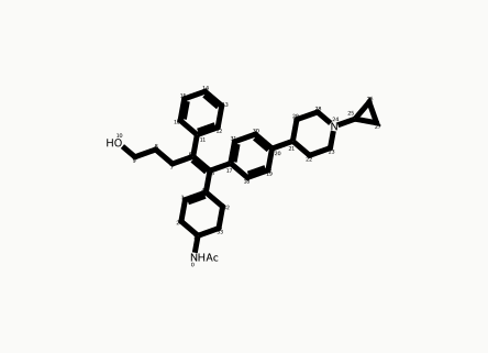 CC(=O)NC1CC=C(/C(=C(\CCCO)c2ccccc2)c2ccc(C3CCN(C4CC4)CC3)cc2)CC1